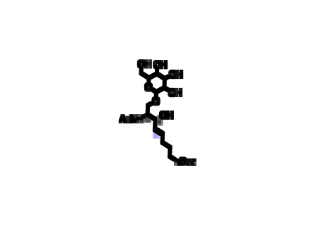 CCCCCCCCCCCCC/C=C/[C@@H](O)[C@H](COC1OC(CO)C(O)C(O)C1O)NC(C)=O